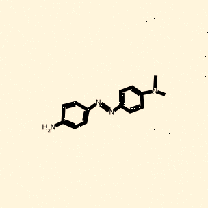 CN(C)c1ccc(/N=N/c2ccc(N)cc2)cc1